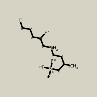 CC(CC[SiH2]CC(F)CCCF)C[Si](F)(F)F